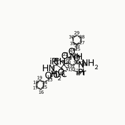 C=CC(CC(C)C)(C(=O)[C@@H](C)NC(=O)OCc1ccccc1)C(C(=O)NOCc1ccccc1)[C@@H](CC(C)C)C(=O)NN